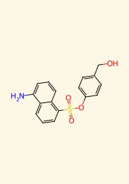 Nc1cccc2c(S(=O)(=O)Oc3ccc(CO)cc3)cccc12